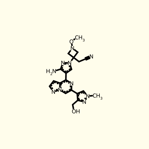 CON1CC(CC#N)(n2cc(-c3nc(-c4cn(C)nc4CO)cn4nccc34)c(N)n2)C1